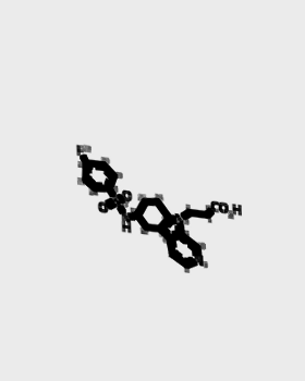 O=C(O)CCn1c2c(c3ccncc31)CC(NS(=O)(=O)c1ccc(F)cc1)CC2